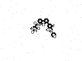 COc1cc(-c2cccc(-c3cccc(NC(=O)c4cn(C)c(=O)n(C)c4=O)c3C)c2Cl)cc(F)c1CN(C)C1CCOCC1